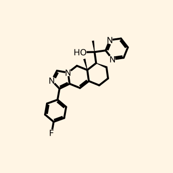 C[C@]12Cn3cnc(-c4ccc(F)cc4)c3C=C1CCC[C@@H]2[C@](C)(O)c1ncccn1